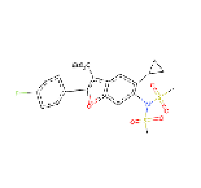 CCOC(=O)c1c(-c2ccc(F)cc2)oc2cc(N(S(C)(=O)=O)S(C)(=O)=O)c(C3CC3)cc12